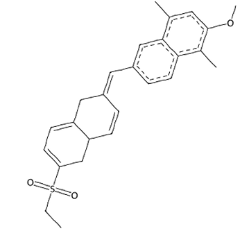 CCS(=O)(=O)C1=CC=C2CC(=Cc3ccc4c(C)c(OC)cc(C)c4c3)C=CC2C1